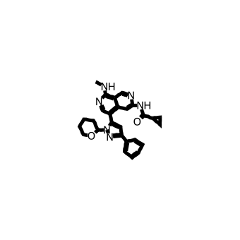 CNc1ncc(-c2cc(-c3ccccc3)nn2C2CCCCO2)c2cc(NC(=O)C3CC3)ncc12